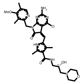 COc1c(C)cnc(CN2C(=O)C(=Cc3[nH]c(C)c(C(=O)NC[C@H](O)CN4CCOCC4)c3C)c3c(Cl)nc(N)nc32)c1C